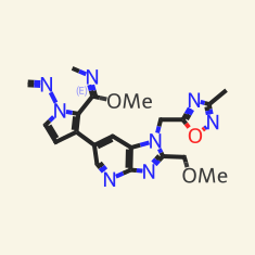 C=Nn1ccc(-c2cnc3nc(COC)n(Cc4nc(C)no4)c3c2)c1/C(=N\C)OC